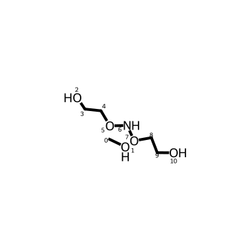 CO.OCCONOCCO